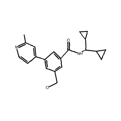 Cc1cc(-c2cc(CCl)cc(C(=O)NC(C3CC3)C3CC3)c2)ccn1